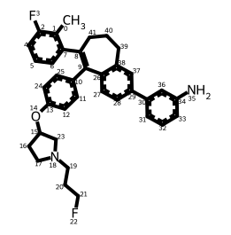 Cc1c(F)cccc1C1=C(c2ccc(OC3CCN(CCCF)C3)cc2)c2ccc(-c3cccc(N)c3)cc2CCC1